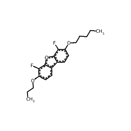 CCCCCOc1ccc2c(oc3c(F)c(OCCC)ccc32)c1F